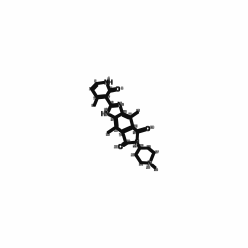 Cc1cc[nH]c(=O)c1-c1nc2c(C)c3c(c(C)c2[nH]1)C(=O)N(C1CCN(C)CC1)C3=O